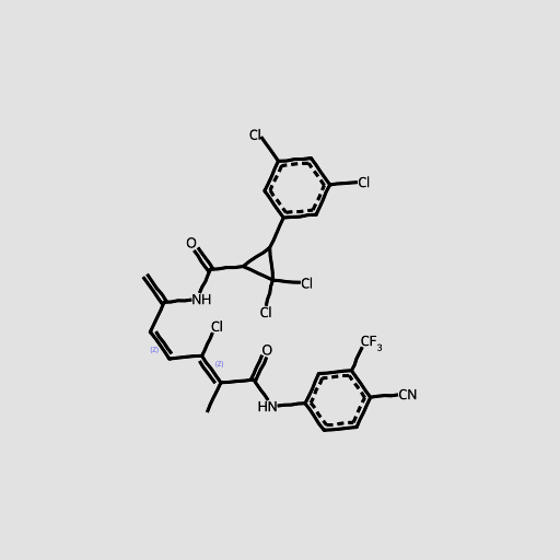 C=C(/C=C\C(Cl)=C(/C)C(=O)Nc1ccc(C#N)c(C(F)(F)F)c1)NC(=O)C1C(c2cc(Cl)cc(Cl)c2)C1(Cl)Cl